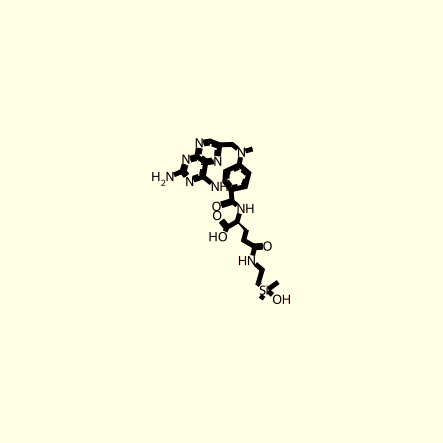 CN(Cc1cnc2nc(N)nc(N)c2n1)c1ccc(C(=O)N[C@@H](CCC(=O)NCC[Si](C)(C)O)C(=O)O)cc1